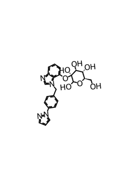 OC[C@H]1OC(O)[C@@](O)(Oc2cccc3ncn(Cc4ccc(-n5cccn5)cc4)c23)[C@@H](O)[C@@H]1O